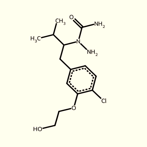 CC(C)C(Cc1ccc(Cl)c(OCCO)c1)N(N)C(N)=O